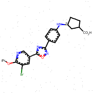 CC(C)Oc1ncc(-c2nc(-c3ccc(N[C@H]4CCC(C(=O)O)C4)cc3)no2)cc1Br